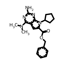 CN(C)c1nc(N)nc2c1cc(C(=O)OCc1ccccc1)n2C1CCCC1